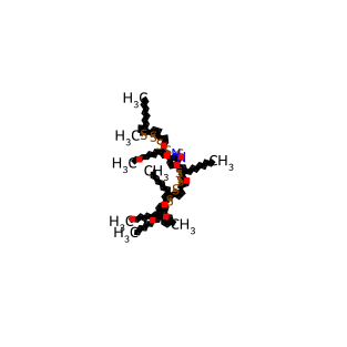 CCCCCCCCc1cc(C)sc1-c1ccc(-c2ccc(-c3sc(-c4ccc(-c5cc(CCCCCCCC)c(-c6ccc(-c7ccc(-c8sc(-c9ccc%10c(c9)-c9cc(C)ccc9C%10(CCCCCCCC)CCCCCCCC)cc8CCCCCCCC)s7)s6)s5)c5nsnc45)cc3CCCCCCCC)s2)s1